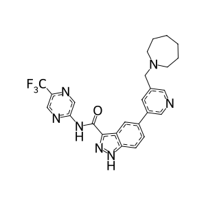 O=C(Nc1cnc(C(F)(F)F)cn1)c1n[nH]c2ccc(-c3cncc(CN4CCCCCC4)c3)cc12